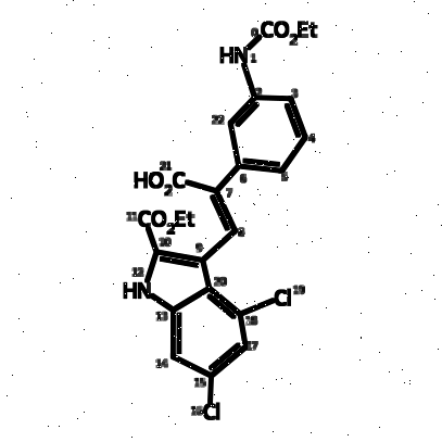 CCOC(=O)Nc1cccc(C(=Cc2c(C(=O)OCC)[nH]c3cc(Cl)cc(Cl)c23)C(=O)O)c1